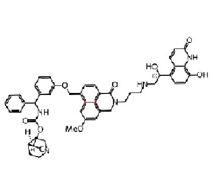 COc1cccc(CN(CCCNC[C@@H](O)c2ccc(O)c3[nH]c(=O)ccc23)C(=O)c2ccc(COc3cccc(C(NC(=O)O[C@H]4CN5CCC4CC5)c4ccccc4)c3)cc2)c1